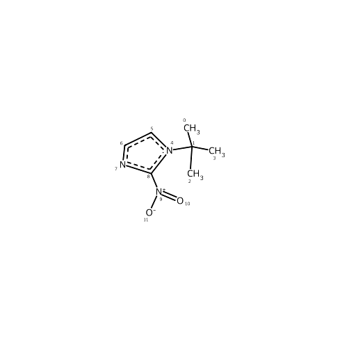 CC(C)(C)n1ccnc1[N+](=O)[O-]